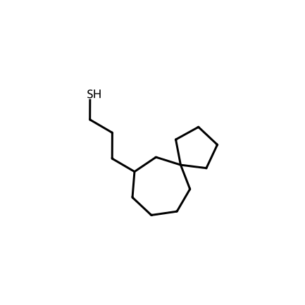 SCCCC1CCCCC2(CCCC2)C1